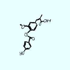 COc1cc(C=C(C)C(=O)O)ccc1OC(=O)c1ccc(O)cc1